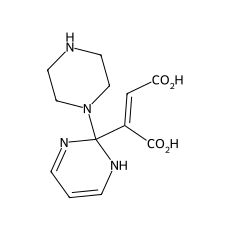 O=C(O)C=C(C(=O)O)C1(N2CCNCC2)N=CC=CN1